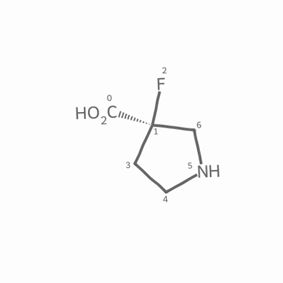 O=C(O)[C@@]1(F)CCNC1